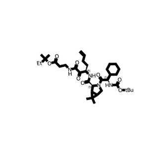 C=CCC[C@@H](NC(=O)[C@@H]1C2C(CN1C(=O)[C@@H](NC(=O)OC(C)(C)C)C1CCCCC1)C2(C)C)C(=O)C(=O)NCCC(=O)OC(C)(C)CC